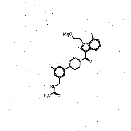 COCCn1cc(C(=O)N2CCC(c3cc(F)cc(CNC(=O)C(F)(F)F)c3)CC2)c2cccc(C)c21